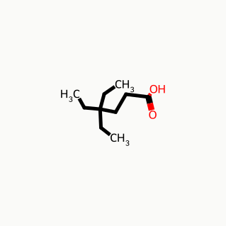 CCC(CC)(CC)CCC(=O)O